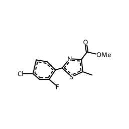 COC(=O)c1nc(-c2ccc(Cl)cc2F)sc1C